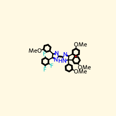 COc1cccc(C2=NC(=C3N=C(c4cccc(OC)c4)C(c4cccc(OC)c4)(c4cccc(OC)c4)N3)N=C2c2c(F)ccc(F)c2F)c1